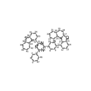 c1ccc(-c2nc(-c3ccc(-c4cccc5oc6ccc7ccccc7c6c45)cc3)nc(-c3cccc4sc5ccccc5c34)n2)cc1